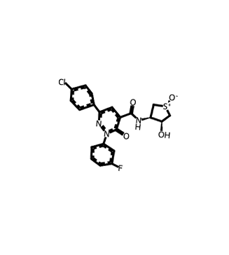 O=C(N[C@H]1C[S@+]([O-])C[C@H]1O)c1cc(-c2ccc(Cl)cc2)nn(-c2cccc(F)c2)c1=O